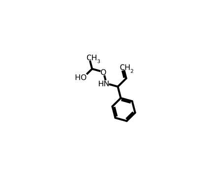 C=CC(NOC(C)O)c1ccccc1